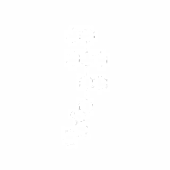 c1ccc2c(-c3c4ccccc4c(-c4ccc(-c5ccc6c(c5)oc5c7ccccc7ccc65)c5ccccc45)c4ccccc34)cccc2c1